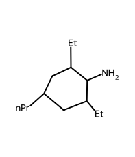 CCCC1CC(CC)C(N)C(CC)C1